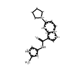 Cc1nc(NC(=O)c2cnn3ccc(N4CCCC4)nc23)c[nH]1